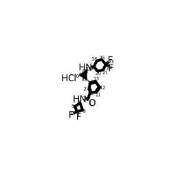 Cl.O=C(NC1CC(F)(F)C1)c1cccc([C@@H]2C[C@H]2NC2CCC(F)(F)CC2)c1